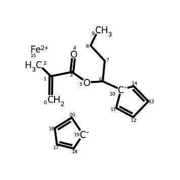 C=C(C)C(=O)OC(CCC)[c-]1cccc1.[Fe+2].c1cc[cH-]c1